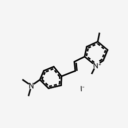 Cc1cc[n+](C)c(/C=C/c2ccc(N(C)C)cc2)c1.[I-]